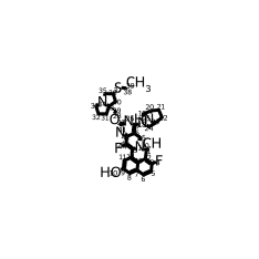 C#Cc1c(F)ccc2cc(O)cc(-c3ncc4c(N5CC6CCC(C5)N6)nc(OC[C@@]56CCCN5C[C@@H](SCC)C6)nc4c3F)c12